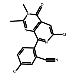 Cc1nc2c(-c3ccc(Cl)cc3C#N)nc(Cl)cc2c(=O)n1C